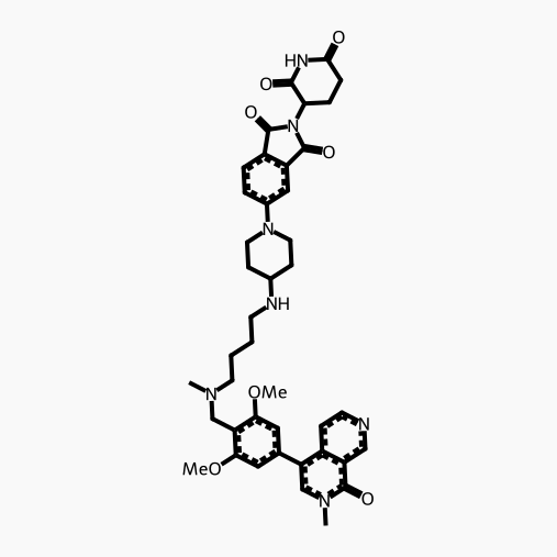 COc1cc(-c2cn(C)c(=O)c3cnccc23)cc(OC)c1CN(C)CCCCNC1CCN(c2ccc3c(c2)C(=O)N(C2CCC(=O)NC2=O)C3=O)CC1